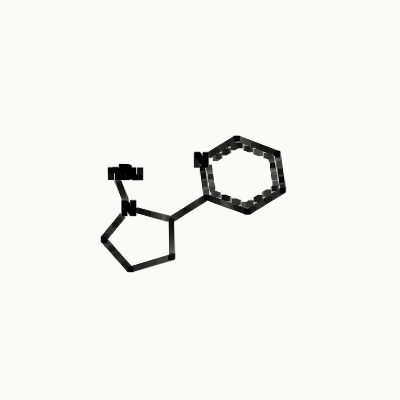 CCCCN1CCCC1c1ccccn1